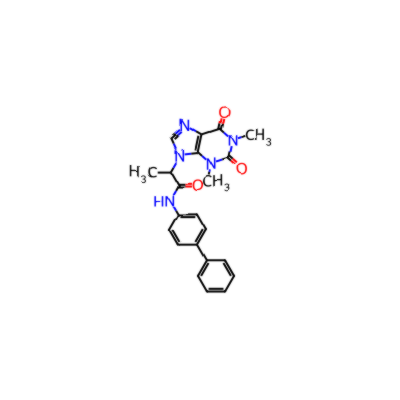 CC(C(=O)Nc1ccc(-c2ccccc2)cc1)n1cnc2c(=O)n(C)c(=O)n(C)c21